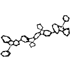 c1ccc(-n2c3ccccc3c3cc(-c4ccc5c(c4)C4(CCCC4)c4cc6c(cc4-5)C4(CCCC4)c4cc(-c5ccc7c(c5)c5ccccc5n7-c5ccccc5)ccc4-6)ccc32)cc1